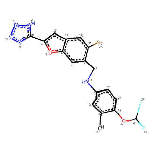 N#Cc1cc(NCc2cc3oc(-c4nnn[nH]4)cc3cc2Br)ccc1OC(F)F